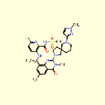 Cc1cc([C@@H](C)Nc2ccc(Cl)nc2C(=O)NS(C)(=O)=O)c2nc(N3CCC4(CCCN(c5ccn(C)n5)C4)C3)n(C)c(=O)c2c1